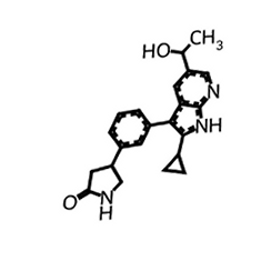 CC(O)c1cnc2[nH]c(C3CC3)c(-c3cccc(C4CNC(=O)C4)c3)c2c1